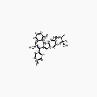 CC(Nc1ncc2cc(/C(=N/O)c3ccc(F)cc3)n(-c3c(F)cccc3F)c2n1)C(C)(C)O